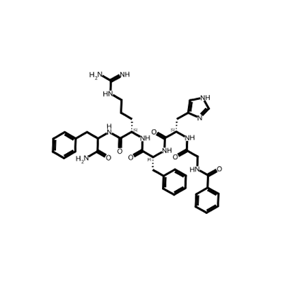 N=C(N)NCCC[C@H](NC(=O)[C@@H](Cc1ccccc1)NC(=O)[C@H](Cc1c[nH]cn1)NC(=O)CNC(=O)c1ccccc1)C(=O)NC(Cc1ccccc1)C(N)=O